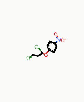 O=[N+]([O-])c1ccc(OC(Cl)[CH]CCl)cc1